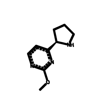 COc1nccc([C@H]2CCCN2)n1